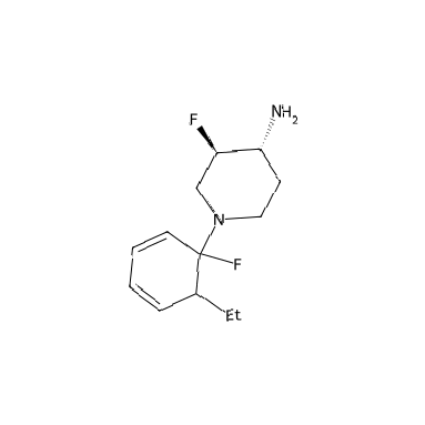 CCC1C=CC=CC1(F)N1CC[C@@H](N)[C@H](F)C1